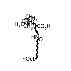 CCCCCCCC/C=C\CCCCCCCC(=O)NCC#CCC(CNC(=O)C1OC(C)(C)OCC1(C)C)C(=O)O